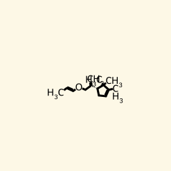 C=C(COC=CC)[C@H]1CC=C(C)C1(C)C